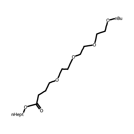 CCCCCCCOC(=O)CCCOCCOCCOCCOCCCC